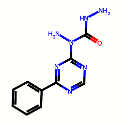 NNC(=O)N(N)c1ncnc(-c2ccccc2)n1